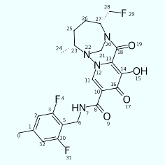 Cc1cc(F)c(CNC(=O)c2cn3c(c(O)c2=O)C(=O)N2CN3[C@H](C)CC[C@@H]2CF)c(F)c1